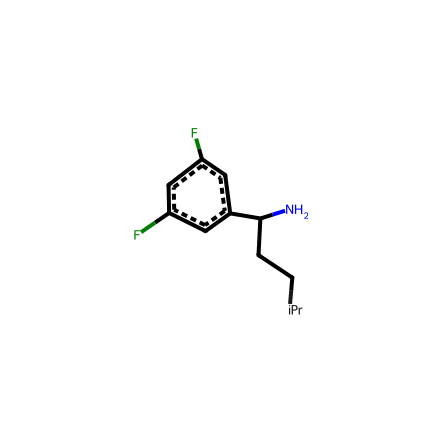 CC(C)CCC(N)c1cc(F)cc(F)c1